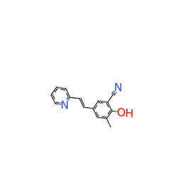 Cc1cc(C=Cc2ccccn2)cc(C#N)c1O